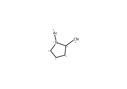 [CH2]C(=O)N1CCCC1C#N